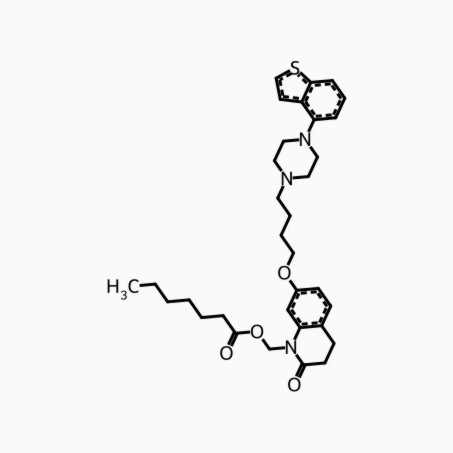 CCCCCCC(=O)OCN1C(=O)CCc2ccc(OCCCCN3CCN(c4cccc5sccc45)CC3)cc21